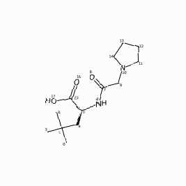 CC(C)(C)C[C@H](NC(=O)CN1CCCC1)C(=O)O